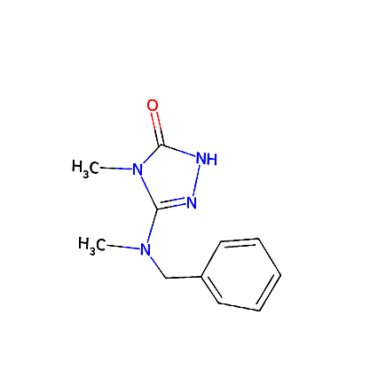 CN(Cc1ccccc1)c1n[nH]c(=O)n1C